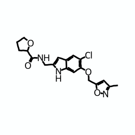 Cc1cc(COc2cc3[nH]c(CNC(=O)C4CCCO4)cc3cc2Cl)on1